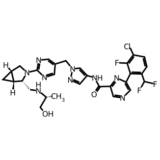 C[C@H](CO)NC[C@@H]1[C@@H]2C[C@@H]2CN1c1ncc(Cn2cc(NC(=O)c3cncc(-c4c(C(F)F)ccc(Cl)c4F)n3)cn2)cn1